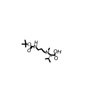 CC(C)[C@@H](C(=O)O)N(C)CCCNC(=O)OC(C)(C)C